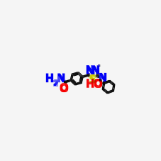 Cn1nc(-c2ccc(C(N)=O)cc2)sc1=NC1(O)CCCCC1